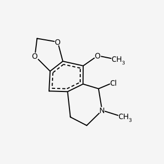 COc1c2c(cc3c1C(Cl)N(C)CC3)OCO2